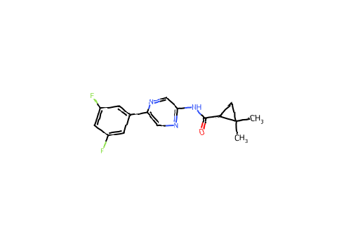 CC1(C)CC1C(=O)Nc1cnc(-c2cc(F)cc(F)c2)cn1